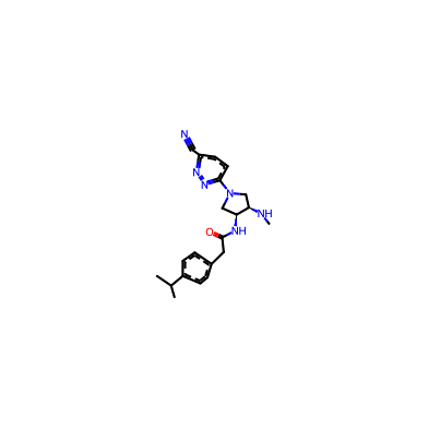 CN[C@@H]1CN(c2ccc(C#N)nn2)C[C@@H]1NC(=O)Cc1ccc(C(C)C)cc1